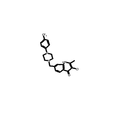 Cc1[nH]c2cc(CN3CCN(c4ccc(C(F)(F)F)cc4)CC3)ccc2c(=O)c1Cl